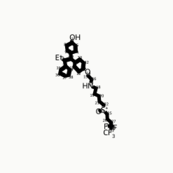 CC/C(=C(\c1ccc(O)cc1)c1ccc(OCCNCCCCC[S+]([O-])CCCC(F)(F)C(F)(F)F)cc1)c1ccccc1